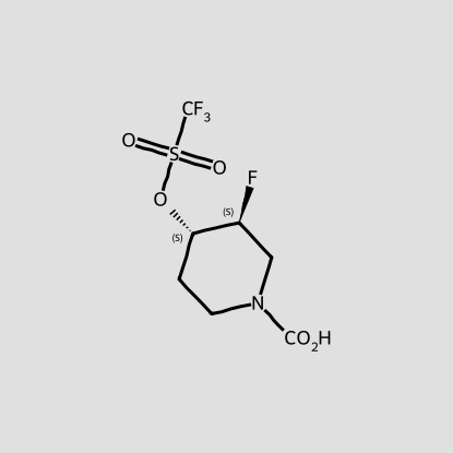 O=C(O)N1CC[C@H](OS(=O)(=O)C(F)(F)F)[C@@H](F)C1